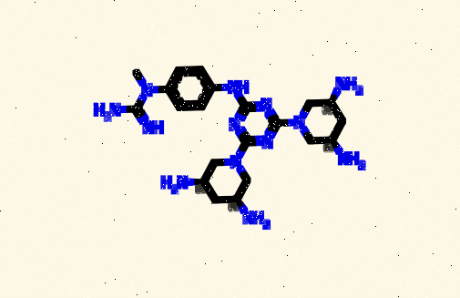 CN(C(=N)N)c1ccc(Nc2nc(N3C[C@H](N)C[C@H](N)C3)nc(N3C[C@H](N)C[C@H](N)C3)n2)cc1